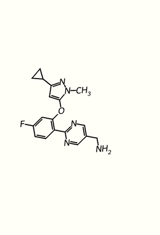 Cn1nc(C2CC2)cc1Oc1cc(F)ccc1-c1ncc(CN)cn1